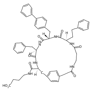 O=C(O)CCCNC(=O)[C@@H]1Cc2ccc(cc2)C(=O)NCCC(=O)N[C@H](CCc2ccccc2)C(=O)N[C@@H](Cc2ccc(-c3ccccc3)cc2)C(=O)N[C@H](Cc2ccccc2)C(=O)N1